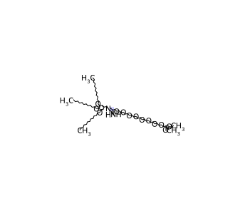 CCCCCCCCCCCCOc1cc(CN/C=C(/COCCOCCOCCOCCOCCOCCOCCOCCP(C)(=O)OCC)N=N)cc(OCCCCCCCCCCCC)c1OCCCCCCCCCCCC